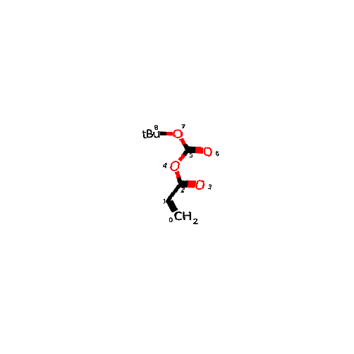 C=CC(=O)OC(=O)OC(C)(C)C